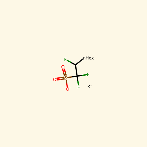 CCCCCCC(F)C(F)(F)S(=O)(=O)[O-].[K+]